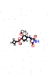 COc1cc(/C=C2\SC(=O)NC2=O)ccc1OC(=O)C1CCC1